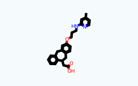 Cc1ccnc(NCCCOc2ccc3c(c2)Cc2ccccc2C(CC(=O)O)C3)c1